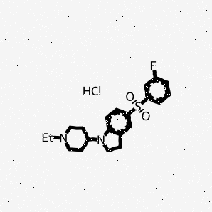 CCN1CCC(N2CCc3cc(S(=O)(=O)c4cccc(F)c4)ccc32)CC1.Cl